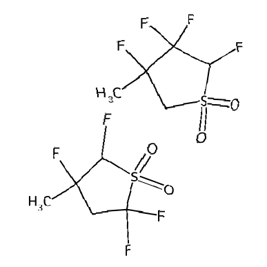 CC1(F)CC(F)(F)S(=O)(=O)C1F.CC1(F)CS(=O)(=O)C(F)C1(F)F